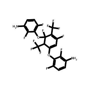 Nc1ccc(F)c(OC2=CC(F)=C(C(F)(F)F)C(F)(Oc3c(F)ccc(N)c3F)C2C(F)(F)F)c1F